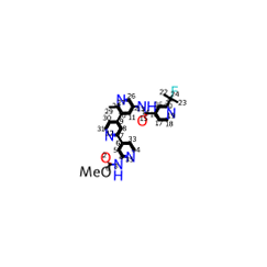 COC(=O)Nc1cc(-c2cc(-c3cc(NC(=O)c4ccnc(C(C)(C)F)c4)cnc3C)ccn2)ccn1